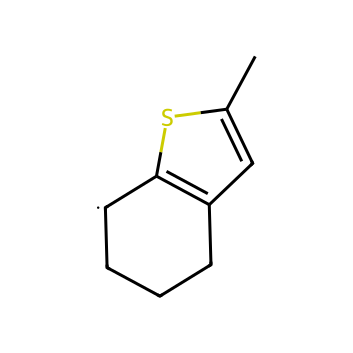 Cc1cc2c(s1)[CH]CCC2